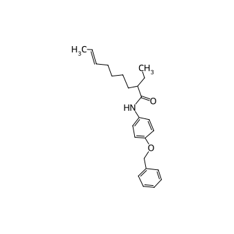 CC=CCCCCC(CC)C(=O)Nc1ccc(OCc2ccccc2)cc1